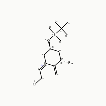 C=C1/C(=C\CCl)C[C@@H](O[Si](C)(C)C(C)(C)C)C[C@@H]1F